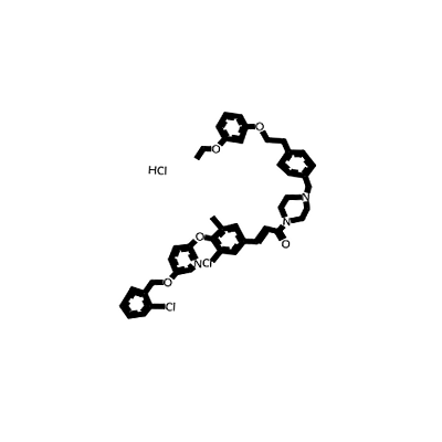 CCOc1cccc(OCCc2ccc(CN3CCN(C(=O)C=Cc4cc(C)c(Oc5ccc(OCc6ccccc6Cl)cn5)c(Cl)c4)CC3)cc2)c1.Cl